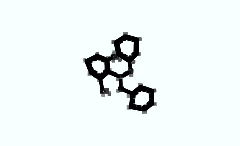 Cc1cccc(C)c1P(Oc1ccccc1)Oc1ccccc1